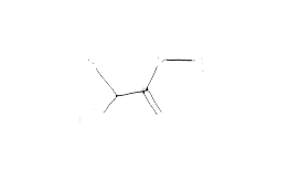 CC(N)C(=O)NP